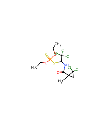 CCOP(=S)(OCC)SC(NC(=O)C1(C)CC1(Cl)Cl)C(Cl)(Cl)Cl